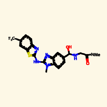 CNC(=O)CNC(O)c1ccc2c(c1)nc(Nc1nc3ccc(C(F)(F)F)cc3s1)n2C